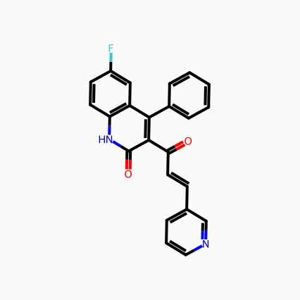 O=C(/C=C/c1cccnc1)c1c(-c2ccccc2)c2cc(F)ccc2[nH]c1=O